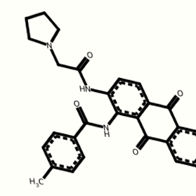 Cc1ccc(C(=O)Nc2c(NC(=O)CN3CCCC3)ccc3c2C(=O)c2ccccc2C3=O)cc1